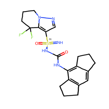 N=[S@@](=O)(NC(=O)Nc1c2c(cc3c1CCC3)CCC2)c1cnn2c1C(F)(F)CCC2